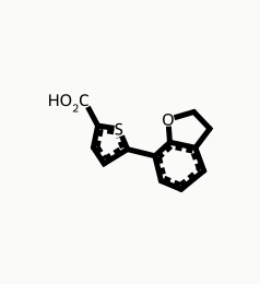 O=C(O)c1ccc(-c2cccc3c2OCC3)s1